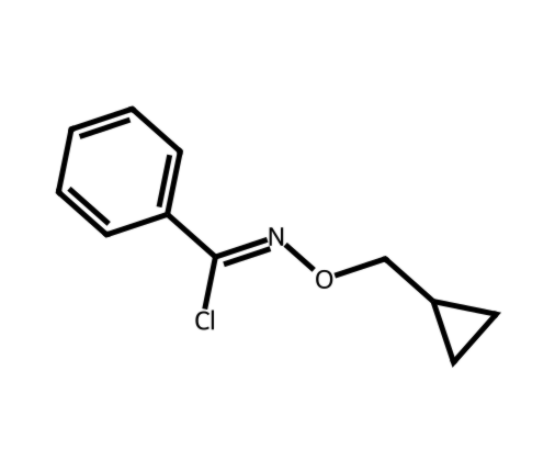 Cl/C(=N\OCC1CC1)c1ccccc1